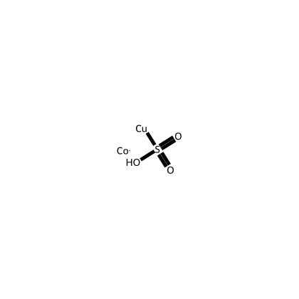 O=[S](=O)(O)[Cu].[Co]